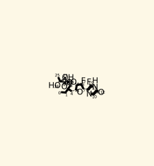 CCC(C)(C[C@H]1O[C@@H](c2ncc(=O)[nH]c2F)[C@@H](F)C1O)OP(=O)(O)C(C)O